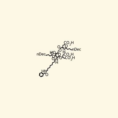 CCCCCCCCCCCCCC(=O)N[C@H](CCC(=O)O)C(=O)OC[C@H]1O[C@H](OC(CC(=O)O)CC(=O)O)[C@H](NC(=O)CCCCCCCNC(=O)c2ccccc2)[C@@H](OC(=O)CCCCCCCCCCCCC)[C@@H]1O